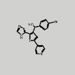 OC(c1ccc(Br)cc1)c1cc(-c2ccncc2)sc1-c1nnc[nH]1